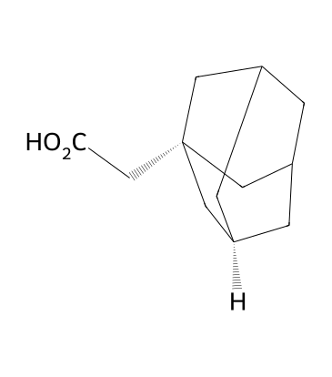 O=C(O)C[C@]12CC3CC(C[C@@H](C3)C1)C2